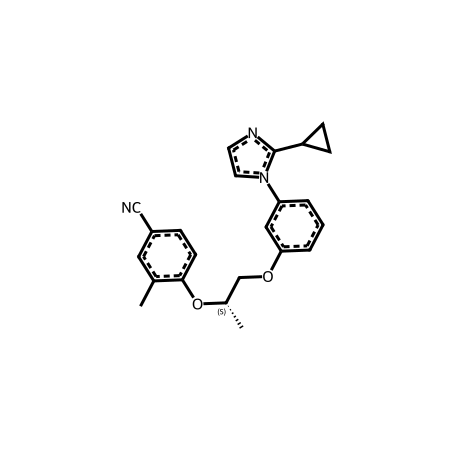 Cc1cc(C#N)ccc1O[C@@H](C)COc1cccc(-n2ccnc2C2CC2)c1